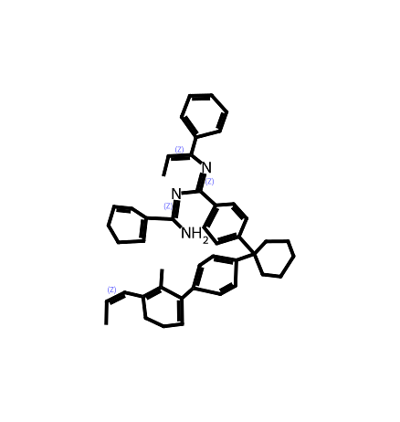 C/C=C\C1=C(C)C(c2ccc(C3(c4ccc(C(/N=C(\N)C5=CCCC=C5)=N/C(=C\C)c5ccccc5)cc4)CCCCC3)cc2)=CCC1